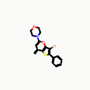 C=C1C=C(N2CCOCC2)Oc2c1sc(-c1ccccc1)c2Br